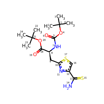 CC(C)(C)OC(=O)N[C@@H](Cc1nc(C(N)=S)cs1)C(=O)OC(C)(C)C